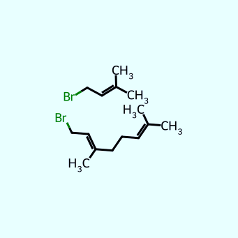 CC(C)=CCBr.CC(C)=CCCC(C)=CCBr